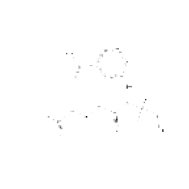 COC(=O)CCNC(=O)[C@H](O)C(C)(C)CO.O=C(O)c1cccnc1